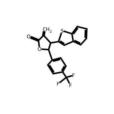 C=C1C(=O)OC(c2ccc(C(F)(F)F)cc2)C1c1cc2ccccc2s1